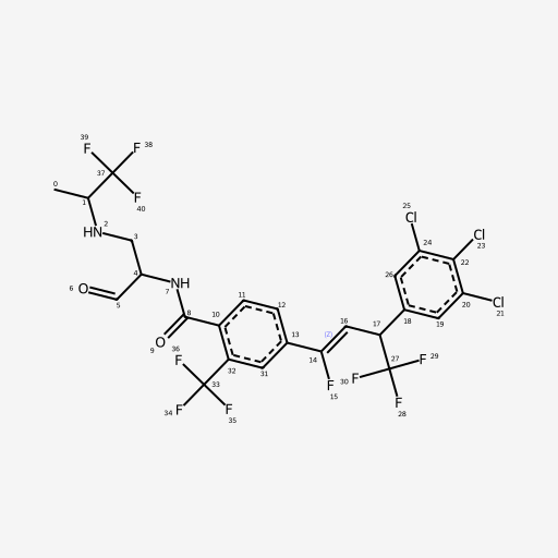 CC(NCC(C=O)NC(=O)c1ccc(/C(F)=C/C(c2cc(Cl)c(Cl)c(Cl)c2)C(F)(F)F)cc1C(F)(F)F)C(F)(F)F